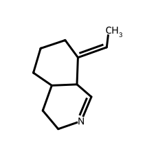 C/C=C1\CCCC2CCN=CC12